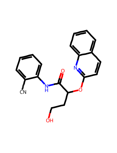 N#Cc1ccccc1NC(=O)C(CCO)Oc1ccc2ccccc2n1